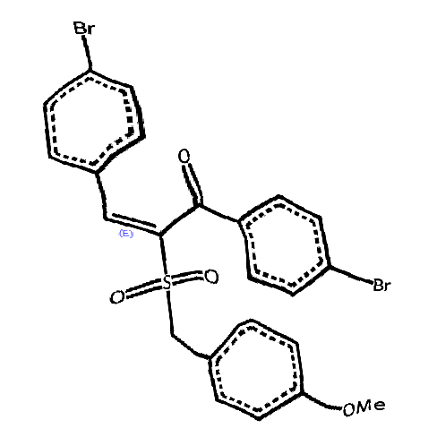 COc1ccc(CS(=O)(=O)/C(=C/c2ccc(Br)cc2)C(=O)c2ccc(Br)cc2)cc1